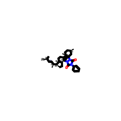 CC(C)[C@@H](C)/C=C/[C@@H](C)[C@H]1CCC2[C@@]34C=CC5(C[C@@H](C)CC[C@]5(C)C3CC[C@@]21C)n1c(=O)n(-c2ccccc2)c(=O)n14